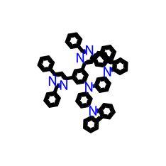 c1ccc(-c2cc(-c3cc(-c4cc(-c5ccccc5)nc(-c5ccccc5)n4)cc(N(c4cccc(-n5c6ccccc6c6ccccc65)c4)c4cccc(-n5c6ccccc6c6ccccc65)c4)c3)nc(-c3ccccc3)n2)cc1